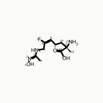 C/C(=N\O)NC/C(F)=C\CC[C@](C)(N)C(=O)O